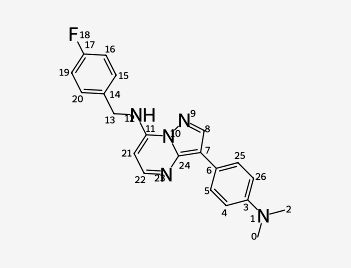 CN(C)c1ccc(-c2cnn3c(NCc4ccc(F)cc4)ccnc23)cc1